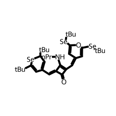 CCCNC1=C(C=C2C=C([Se]C(C)(C)C)OC([Se]C(C)(C)C)=C2)C(=O)C1=CC1=CC(C(C)(C)C)[Se]C(C(C)(C)C)=C1